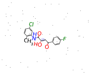 Cc1ccc(Cl)cc1NC(=O)/C(O)=C/C(=O)c1ccc(F)cc1